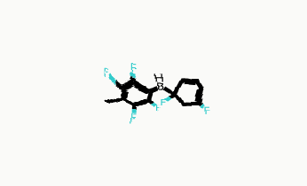 Cc1c(F)c(F)c(BC2(F)C=CC=C(F)C2)c(F)c1F